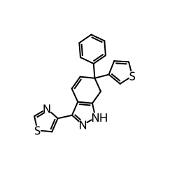 C1=CC(c2ccccc2)(c2ccsc2)Cc2[nH]nc(-c3cscn3)c21